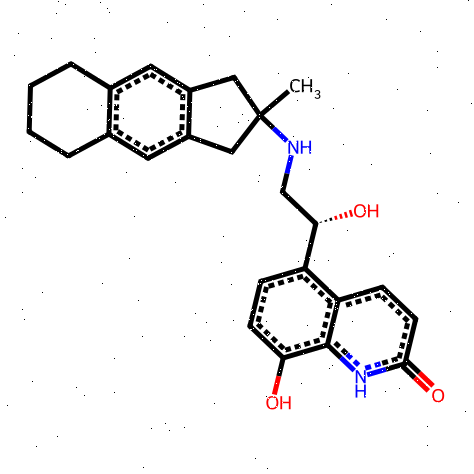 CC1(NC[C@H](O)c2ccc(O)c3[nH]c(=O)ccc23)Cc2cc3c(cc2C1)CCCC3